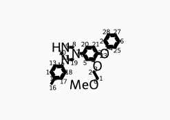 COCCOc1cc(N2CNCN(c3ccc(C)cc3)C2)ccc1Oc1ccccc1